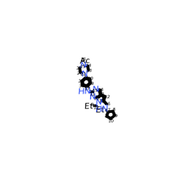 CCC(CC)n1c(CNC2CCCC2)cc2cnc(Nc3ccc(N4CCN(C(C)=O)CC4)cc3)nc21